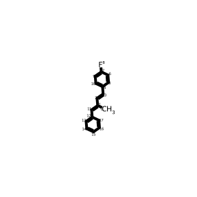 CC(/C=C/c1ccc(F)cc1)=C\c1ccccc1